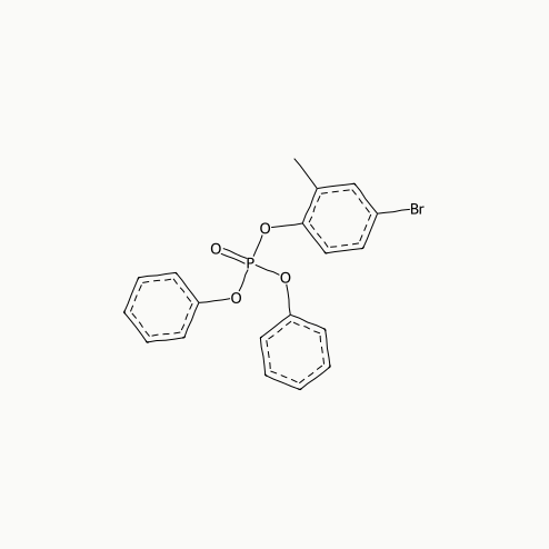 Cc1cc(Br)ccc1OP(=O)(Oc1ccccc1)Oc1ccccc1